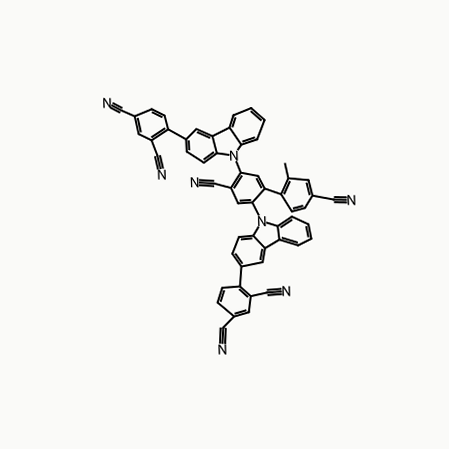 Cc1cc(C#N)ccc1-c1cc(-n2c3ccccc3c3cc(-c4ccc(C#N)cc4C#N)ccc32)c(C#N)cc1-n1c2ccccc2c2cc(-c3ccc(C#N)cc3C#N)ccc21